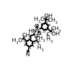 CC(C)c1cc(C#N)cc(C(C)C)c1CC(=O)NS(=O)(=O)c1cc(C(C)(C)O)cc(C(C)(C)O)c1